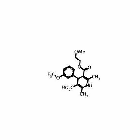 COCCOC(=O)C1=C(C)NC(C)=C(C(=O)O)C1c1cccc(OC(F)(F)F)c1